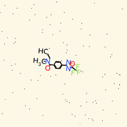 C#CCN(C)C(=O)c1ccc(-c2noc(C(F)(F)F)n2)cc1